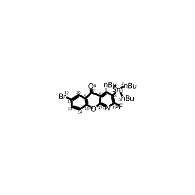 CCC[CH2][Sn]([CH2]CCC)([CH2]CCC)[c]1cc2c(=O)c3cc(Br)ccc3oc2nc1F